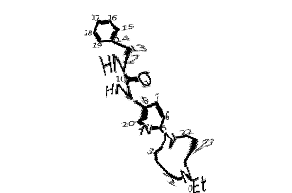 CCN1CCN(c2ccc(NC(=O)NCc3ccccc3)cn2)CC1